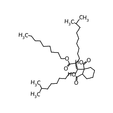 CCCCCCCCCOC(=O)C(CCCCCCCC(C)C)=C(CCCCCCCC(C)C)C1(C(=O)O)CCCCC1C(=O)O